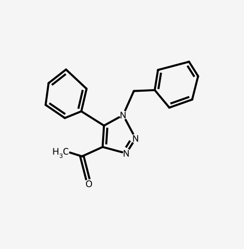 CC(=O)c1nnn(Cc2ccccc2)c1-c1ccccc1